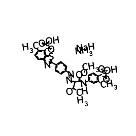 COc1cc(S(=O)(=O)O)c(C)cc1NC(=O)C(N=Nc1ccc(-c2nc3ccc(C)c(S(=O)(=O)O)c3s2)cc1)C(C)=O.N.[NaH]